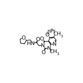 CCCOc1c(C)cnc2c1c(=O)n(CC(=O)NCC1CCCO1)c(=O)n2C